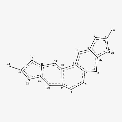 Cc1cc2cc3c(ccc4cc5sc(C)cc5cc43)cc2s1